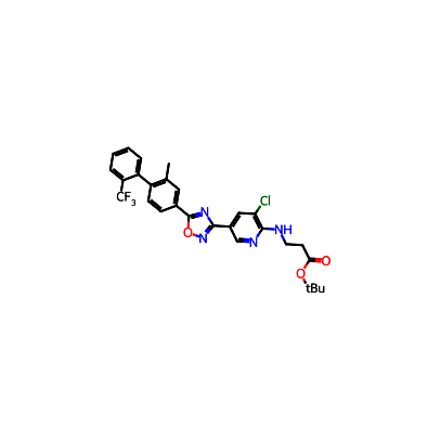 Cc1cc(-c2nc(-c3cnc(NCCC(=O)OC(C)(C)C)c(Cl)c3)no2)ccc1-c1ccccc1C(F)(F)F